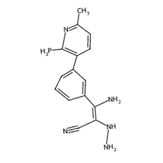 Cc1ccc(-c2cccc(/C(N)=C(\C#N)NN)c2)c(P)n1